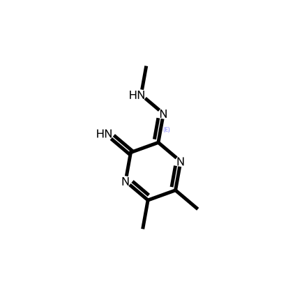 CN/N=C1/N=C(C)C(C)=NC1=N